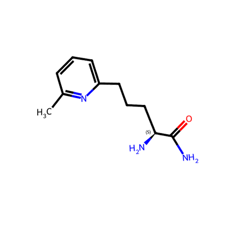 Cc1cccc(CCC[C@H](N)C(N)=O)n1